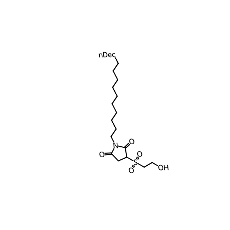 CCCCCCCCCCCCCCCCCCCCN1C(=O)CC(S(=O)(=O)CCO)C1=O